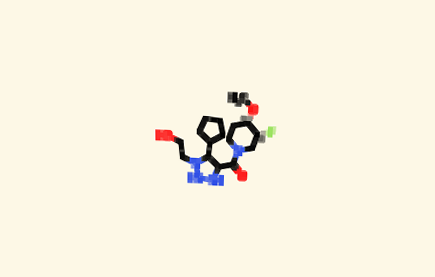 CO[C@H]1CCN(C(=O)C2NNN(CCO)C2C2CCCC2)C[C@H]1F